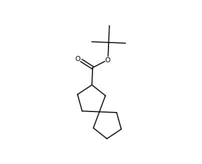 CC(C)(C)OC(=O)C1CCC2(CCCC2)C1